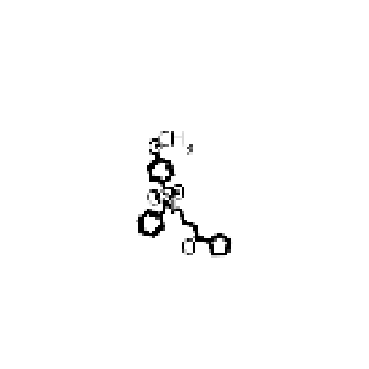 COc1ccc(S(=O)(=O)N(CCCC(=O)C2CCCC2)c2ccccc2)cc1